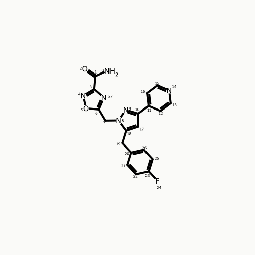 NC(=O)c1noc(Cn2nc(-c3ccncc3)cc2Cc2ccc(F)cc2)n1